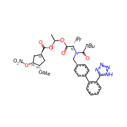 CCCCC(=O)N(Cc1ccc(-c2ccccc2-c2nnn[nH]2)cc1)[C@H](C(=O)OC(C)OC(=O)[C@H]1C[C@H](OC)[C@@H](O[N+](=O)[O-])C1)C(C)C